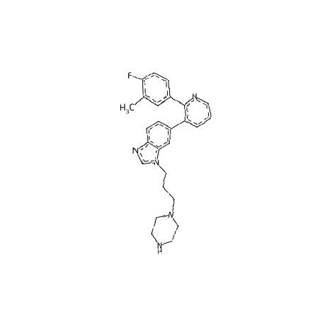 Cc1cc(-c2ncccc2-c2ccc3ncn(CCCN4CCNCC4)c3c2)ccc1F